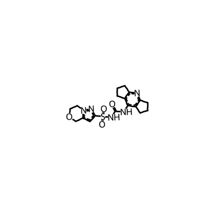 O=C(Nc1c2c(nc3c1CCC3)CCC2)NS(=O)(=O)c1cc2n(n1)CCOC2